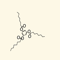 CCCCCCCC(=O)Oc1cc(OC(=O)CCCCCCC)cc(OC(=O)CCCCCCC)c1